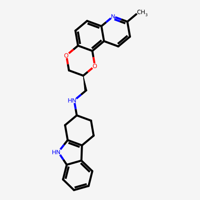 Cc1ccc2c3c(ccc2n1)OC[C@H](CNC1CCc2c([nH]c4ccccc24)C1)O3